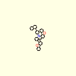 C[Si]12c3ccc4c(oc5ccccc54)c3-c3cccc(c31)N(c1ccc(-c3cccc4ccccc34)cc1)c1c2ccc2oc3ccccc3c12